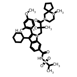 COc1ccc(-c2c(C3CCCCC3)c3ccc(C(=O)NS(=O)(=O)C(C)C)cc3n2CC(C)(C)C(=O)N2CCN(C)C3(CCCC3)C2)c(C)c1